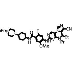 CCC1c2c(C#N)ncn2-c2cnc(Nc3cc(F)c(C(=O)NC4CCC(N5CCN(C(C)C)CC5)CC4)cc3OC)nc2N1C(C)C